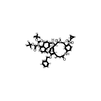 C[C@@H]1CC(=O)Nc2ccc(S(=O)(=O)C3CC3)c(c2)CN(C)C(=O)C(Nc2ccc3c(N(C(=O)OC(C)(C)C)C(=O)OC(C)(C)C)ncc(F)c3c2)c2ccc(OCc3ccccc3)c1c2